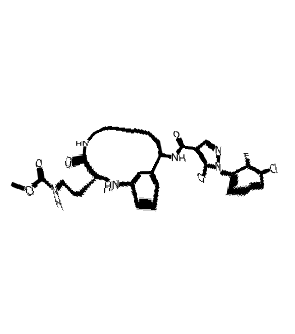 COC(=O)NCC[C@@H]1Nc2cccc(c2)C(NC(=O)c2cnn(-c3cccc(Cl)c3F)c2Cl)CCCCCNC1=O